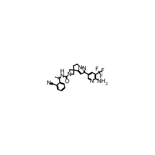 C[C@@H](NC(=O)N1CC2(CCn3nc(-c4cnc(N)c(C(F)(F)F)c4)cc32)C1)c1ccccc1C#N